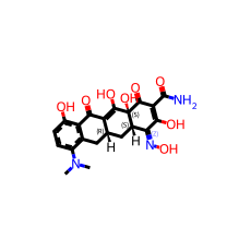 CN(C)c1ccc(O)c2c1C[C@H]1C[C@H]3/C(=N/O)C(O)=C(C(N)=O)C(=O)[C@@]3(O)C(O)=C1C2=O